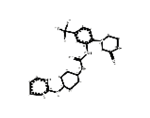 O=C1CN(c2ccc(C(F)(F)F)cc2NC(=O)NC2CCC(Oc3ncccn3)CC2)CCN1